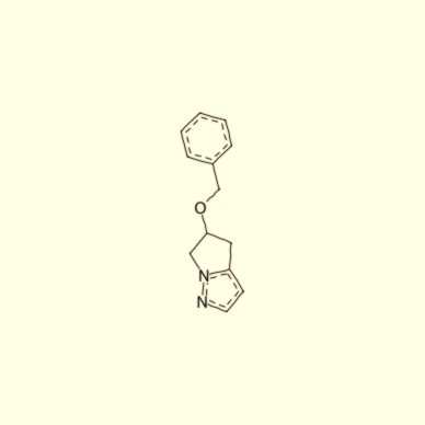 c1ccc(COC2Cc3ccnn3C2)cc1